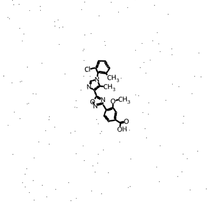 COc1cc(C(=O)O)ccc1-c1noc(-c2ncn(-c3c(C)cccc3Cl)c2C)n1